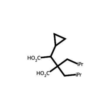 CC(C)CC(CC(C)C)(C(=O)O)C(C(=O)O)C1CC1